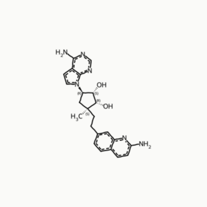 C[C@]1(CCc2ccc3ccc(N)nc3c2)C[C@@H](n2ccc3c(N)ncnc32)[C@H](O)[C@@H]1O